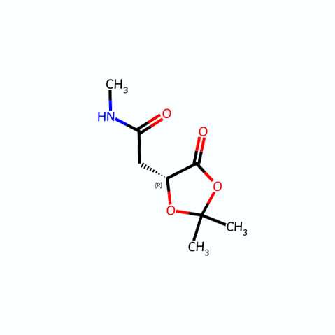 CNC(=O)C[C@H]1OC(C)(C)OC1=O